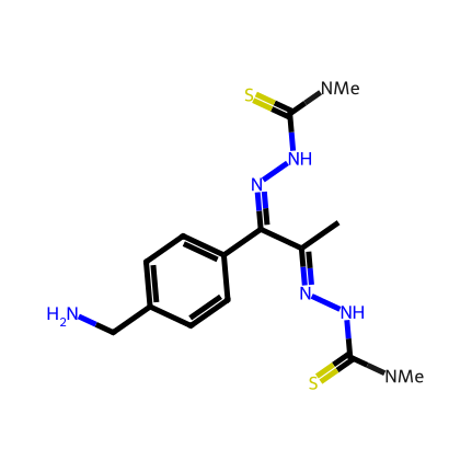 CNC(=S)NN=C(C)C(=NNC(=S)NC)c1ccc(CN)cc1